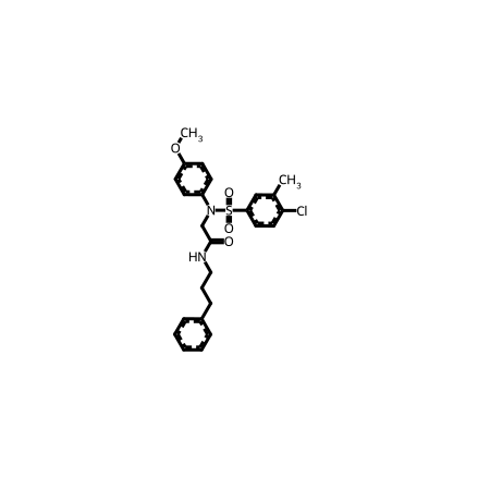 COc1ccc(N(CC(=O)NCCCc2ccccc2)S(=O)(=O)c2ccc(Cl)c(C)c2)cc1